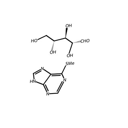 CSc1ncnc2[nH]cnc12.O=C[C@H](O)[C@H](O)[C@H](O)CO